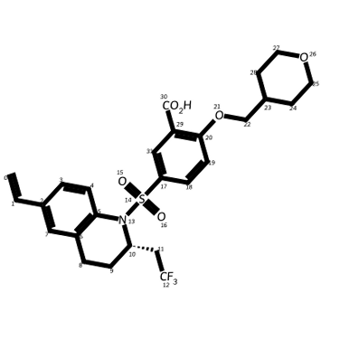 C=Cc1ccc2c(c1)CC[C@@H](CC(F)(F)F)N2S(=O)(=O)c1ccc(OCC2CCOCC2)c(C(=O)O)c1